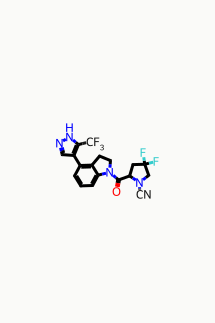 N#CN1CC(F)(F)CC1C(=O)N1CCc2c(-c3cn[nH]c3C(F)(F)F)cccc21